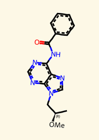 [CH2]O[C@H](C)Cn1cnc2c(NC(=O)c3ccccc3)ncnc21